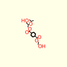 CC(C)OC(CO)COC(=O)c1ccc(C(=O)OCCO)cc1